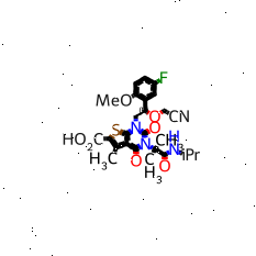 COc1ccc(F)cc1[C@H](Cn1c(=O)n(C(C)(C)C(=O)NC(C)C)c(=O)c2c(C)c(C(=O)O)sc21)OCC#N